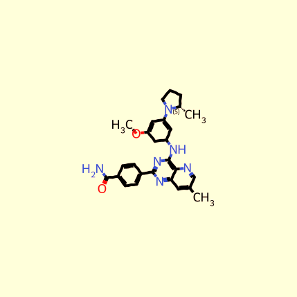 COC1=CC(N2CCC[C@@H]2C)=CC(Nc2nc(-c3ccc(C(N)=O)cc3)nc3cc(C)cnc23)C1